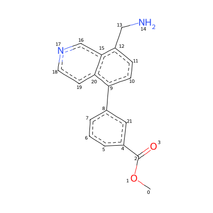 COC(=O)c1cccc(-c2ccc(CN)c3cnccc23)c1